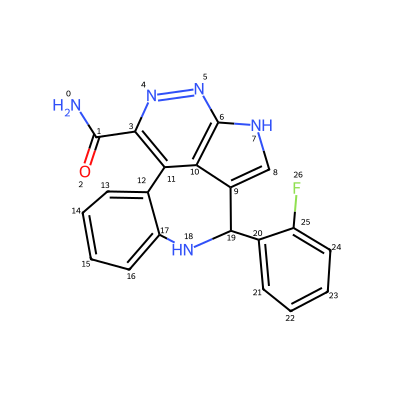 NC(=O)c1nnc2[nH]cc3c2c1-c1ccccc1NC3c1ccccc1F